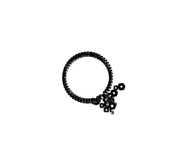 CN(C(=O)CCC(C1CCCCCCCCCCCCCCCCCCCCCCCCCCCCCCCCCCCCCCCCCCCCCCCCC2(CC1)OCCO2)N1Cc2cc(Oc3ccccc3)ccc2N=C1N)C1CCCCC1